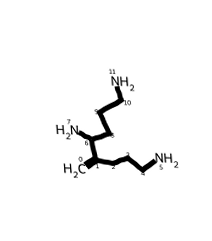 C=C(CCCN)C(N)CCCN